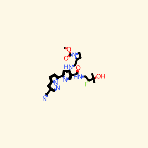 COC(=O)N1CCC1CNc1cc(-c2ccc3cc(C#N)cnn23)ncc1C(=O)NCC(F)C(C)(C)O